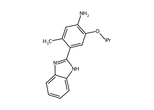 Cc1cc(N)c(OC(C)C)cc1-c1nc2ccccc2[nH]1